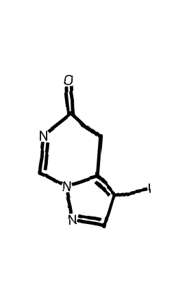 O=C1Cc2c(I)cnn2C=N1